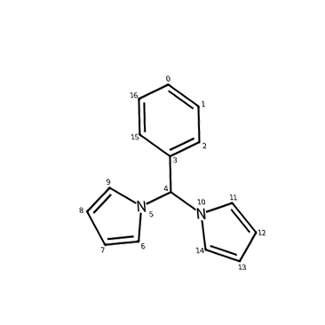 c1ccc(C(n2cccc2)n2cccc2)cc1